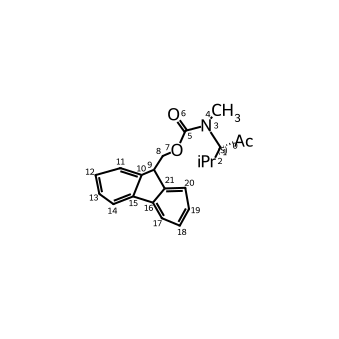 CC(=O)[C@H](C(C)C)N(C)C(=O)OCC1c2ccccc2-c2ccccc21